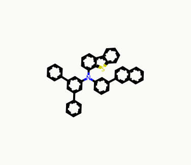 c1ccc(-c2cc(-c3ccccc3)cc(N(c3cccc(-c4ccc5ccccc5c4)c3)c3cccc4c3sc3ccccc34)c2)cc1